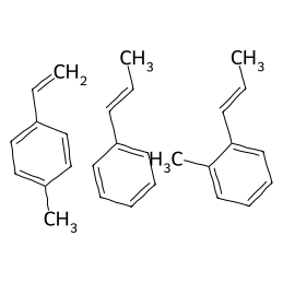 C=Cc1ccc(C)cc1.CC=Cc1ccccc1.CC=Cc1ccccc1C